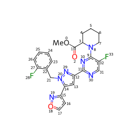 COC(=O)C1CCCCN1c1nc(-c2cc(-c3ccon3)n(Cc3ccccc3F)n2)ncc1F